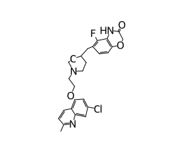 Cc1ccc2c(OCCN3CCC(Cc4ccc5c(c4F)NC(=O)CO5)CC3)cc(Cl)cc2n1